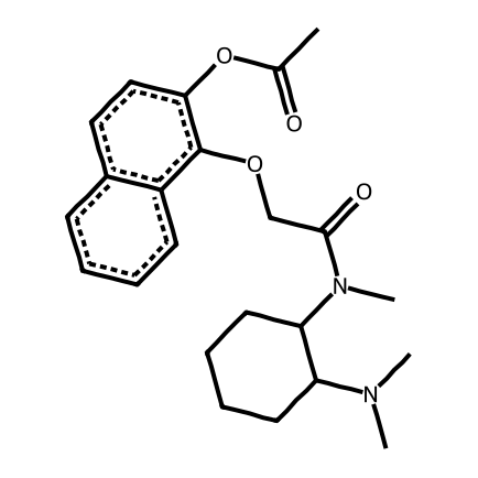 CC(=O)Oc1ccc2ccccc2c1OCC(=O)N(C)C1CCCCC1N(C)C